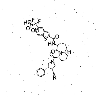 N#C[C@@H]1CN(C(=O)[C@@H]2CCC[C@@H]3CCC[C@H](NC(=O)c4cc5cc(C(F)(F)P(=O)(O)O)ccc5s4)C(=O)N32)C[C@H]1c1ccccc1